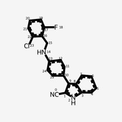 N#Cc1[nH]c2ccccc2c1-c1ccc(NCc2c(F)cccc2Cl)cc1